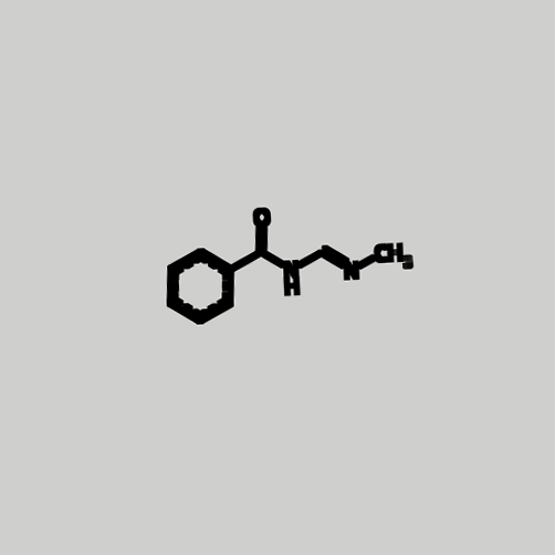 CN=CNC(=O)c1ccccc1